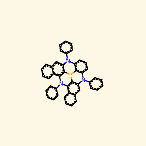 c1ccc(N2c3cccc4c3P3c5c2cc2ccccc2c5N(c2ccccc2)c2c3c(cc3ccccc23)N4c2ccccc2)cc1